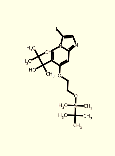 CC(C)(C)C(C)(O)c1cn2c(I)cnc2cc1OCCO[Si](C)(C)C(C)(C)C